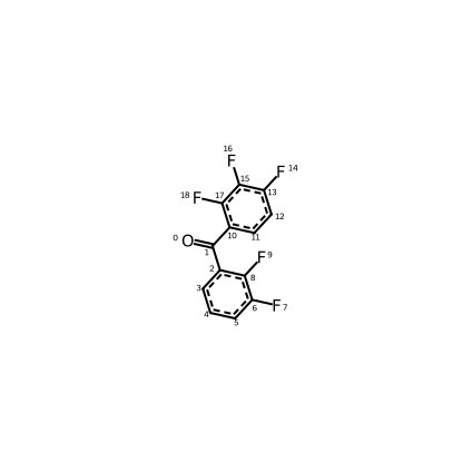 O=C(c1cccc(F)c1F)c1ccc(F)c(F)c1F